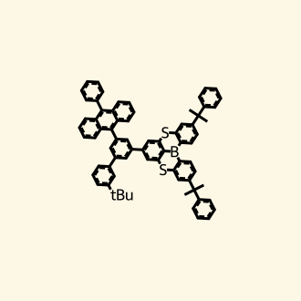 CC(C)(C)c1cccc(-c2cc(-c3cc4c5c(c3)Sc3cc(C(C)(C)c6ccccc6)ccc3B5c3ccc(C(C)(C)c5ccccc5)cc3S4)cc(-c3c4ccccc4c(-c4ccccc4)c4ccccc34)c2)c1